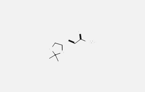 COC(=O)/C=C/[C@H]1COC(C)(C)O1